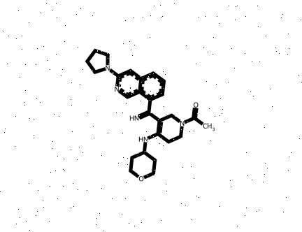 CC(=O)N1CCC(NC2CCOCC2)=C(C(=N)c2cccc3cc(N4CCCC4)ncc23)C1